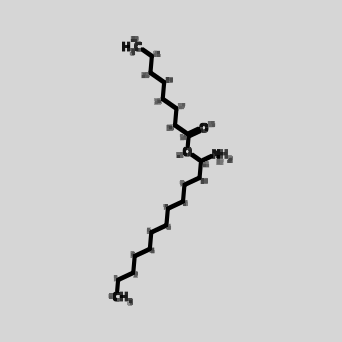 CCCCCCCCCCCC(N)OC(=O)CCCCCCC